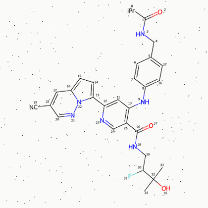 CC(C)C(=O)NCc1ccc(Nc2cc(-c3ccc4cc(C#N)cnn34)ncc2C(=O)NCC(F)C(C)(C)O)cc1